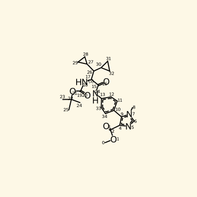 COC(=O)c1ncn(C)c1-c1ccc(NC(=O)[C@@H](NC(=O)OC(C)(C)C)C(C2CC2)C2CC2)cc1